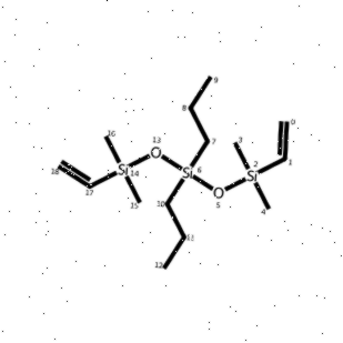 C=C[Si](C)(C)O[Si](CCC)(CCC)O[Si](C)(C)C=C